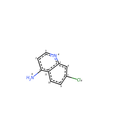 Nc1c[c]nc2cc(Cl)ccc12